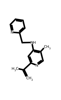 C=C(C)c1cc(NCc2ccccn2)c(C)cn1